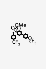 COC(=O)C(=O)N(Cc1ccc(C(F)(F)F)cc1)c1ccc(-c2ccc(OC(F)(F)F)cc2)cc1